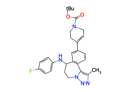 Cc1nnn2c1-c1ccc(C3=CCN(C(=O)OC(C)(C)C)CC3)cc1C(Nc1ccc(F)cc1)CC2